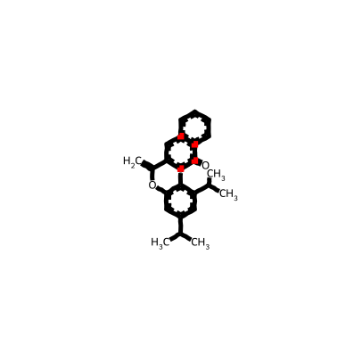 C=C(Oc1cc(C(C)C)cc(C(C)C)c1OC(=O)c1ccccc1)c1ccccc1